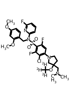 [2H]C([2H])([2H])OC1(CN(C)C)CCN(c2cc(F)c(S(=O)(=O)N(Cc3ccc(OC)cc3OC)c3cccc(F)n3)c(F)c2Cl)C1